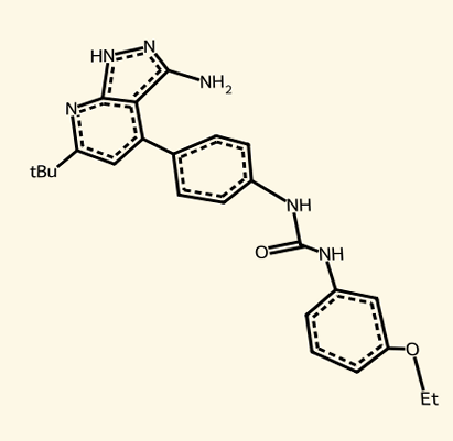 CCOc1cccc(NC(=O)Nc2ccc(-c3cc(C(C)(C)C)nc4[nH]nc(N)c34)cc2)c1